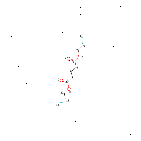 O=C(CCCC(=O)OCCF)OCCF